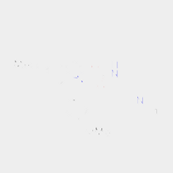 COc1cccc(Cn2c(OC(=O)NC3CCN(C(C)C)CC3)cc3cc(OC)ccc32)c1